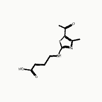 CC(=O)c1sc(NCCCC(=O)O)nc1C